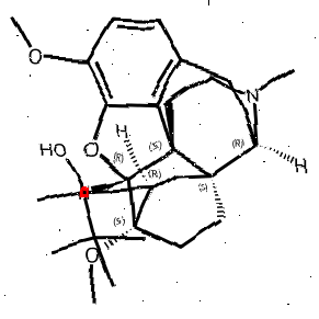 COc1ccc2c3c1O[C@H]1[C@]4(OC)CC[C@@]5(C[C@@H]4C(C)(O)C(C)(C)C)[C@@H](C2)N(C)CC[C@]315